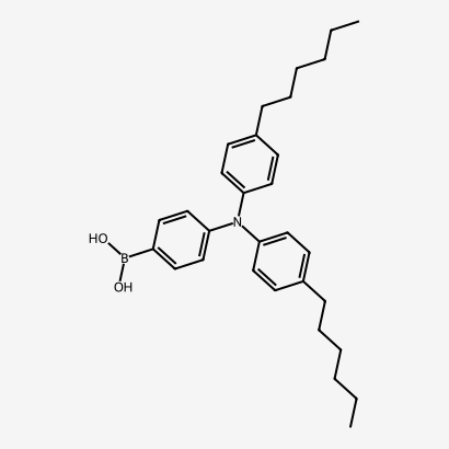 CCCCCCc1ccc(N(c2ccc(CCCCCC)cc2)c2ccc(B(O)O)cc2)cc1